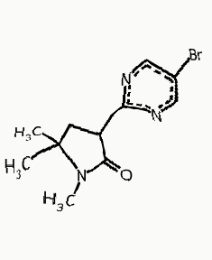 CN1C(=O)C(c2ncc(Br)cn2)CC1(C)C